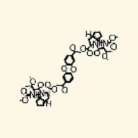 COC(=O)NC(C(=O)N1[C@@H](C(=O)OCC(=O)c2ccc3c(c2)Oc2ccc(C(=O)COC(=O)[C@@H]4C[C@@H]5CCC[C@@H]5N4C(=O)C(NC(=O)OC)[C@@H](C)OC)cc2O3)C[C@@H]2CCC[C@@H]21)C(C)OC